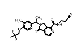 Cc1cc(C(C)N2Cc3c(ccnc3C(=O)NCCC#N)C2=O)ncc1OCC(F)(F)F